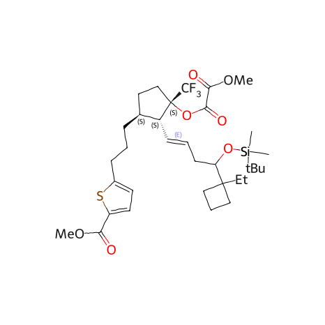 CCC1(C(C/C=C/[C@@H]2[C@@H](CCCc3ccc(C(=O)OC)s3)CC[C@@]2(OC(=O)C(=O)OC)C(F)(F)F)O[Si](C)(C)C(C)(C)C)CCC1